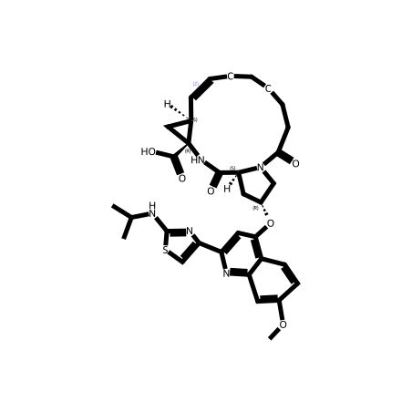 COc1ccc2c(O[C@@H]3C[C@H]4C(=O)N[C@]5(C(=O)O)C[C@H]5/C=C\CCCCCC(=O)N4C3)cc(-c3csc(NC(C)C)n3)nc2c1